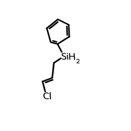 ClC=CC[SiH2]c1ccccc1